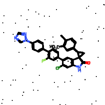 Cc1ccc(C2CC23C(=O)Nc2cc(Cl)c(-c4ccc(-c5ccc(-n6cncn6)cc5)c(F)c4)cc23)cc1C(=O)O